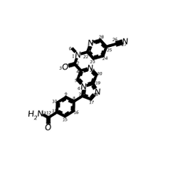 CN(C(=O)c1cn2c(-c3ccc(C(N)=O)cc3)cnc2cn1)c1ccc(C#N)cn1